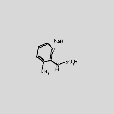 Cc1cccnc1NS(=O)(=O)O.[NaH]